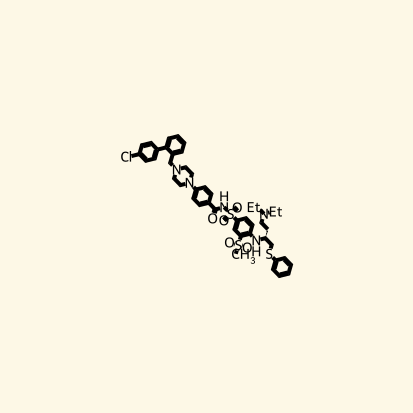 CCN(CC)CC[C@H](CSc1ccccc1)Nc1ccc(S(=O)(=O)NC(=O)c2ccc(N3CCN(Cc4ccccc4-c4ccc(Cl)cc4)CC3)cc2)cc1S(C)(=O)=O